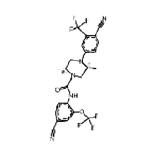 C[C@@H]1CN(c2ccc(C#N)c(C(F)(F)F)c2)[C@@H](C)CN1C(=O)Nc1ccc(C#N)cc1OC(F)(F)F